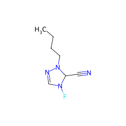 CCCCN1N=CN(F)C1C#N